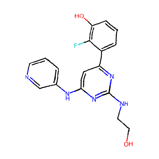 OCCNc1nc(Nc2cccnc2)cc(-c2cccc(O)c2F)n1